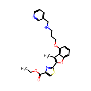 CCOC(=O)c1csc(-c2oc3cccc(OCCCNCc4cccnc4)c3c2C)n1